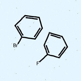 Brc1ccccc1.Fc1ccccc1